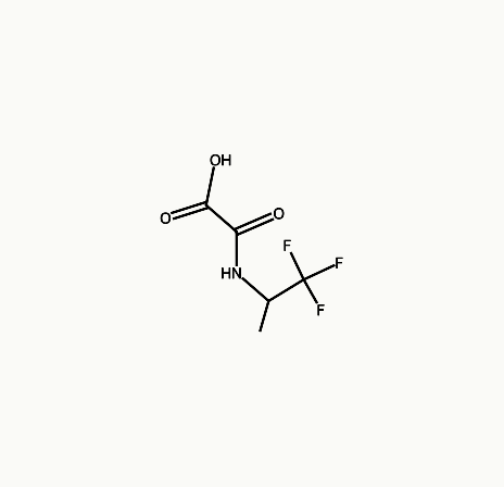 CC(NC(=O)C(=O)O)C(F)(F)F